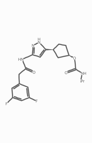 CC(C)NC(=O)O[C@@H]1CC[C@H](c2cc(NC(=O)Cc3cc(F)cc(F)c3)n[nH]2)C1